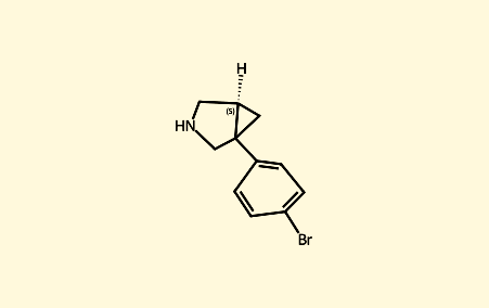 Brc1ccc(C23CNC[C@H]2C3)cc1